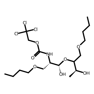 CCCCOCC(O[C@H](O)[C@H](COCCCC)NC(=O)OCC(Cl)(Cl)Cl)[C@H](C)O